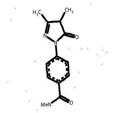 CNC(=O)c1ccc(N2N=C(C)C(C)C2=O)cc1